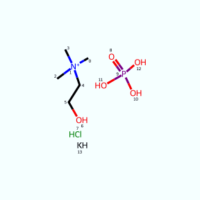 C[N+](C)(C)CCO.Cl.O=P(O)(O)O.[KH]